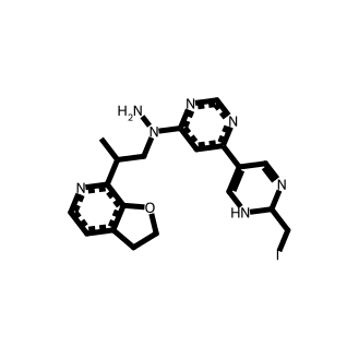 CC(CN(N)c1cc(C2=CNC(CI)N=C2)ncn1)c1nccc2c1OCC2